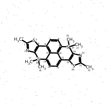 Cc1nc2c(s1)-c1ccc3c4c(ccc(c14)[Si]2(C)C)-c1sc(C)nc1[Si]3(C)C